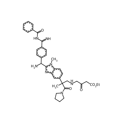 CCOC(=O)CC(=O)CNCC(C)(C(=O)N1CCCC1)c1ccc2c(c1)nc(C(N)c1ccc(C(=N)NC(=O)c3ccccc3)cc1)n2C